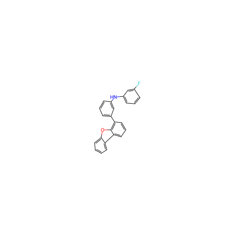 Fc1cccc(Nc2cccc(-c3cccc4c3oc3ccccc34)c2)c1